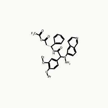 CCOc1cc(C(C(=O)N[C@H](CC(=O)OC(=O)C(F)(F)F)c2ccccc2)N(N)c2ccc3cnccc3c2)ccc1OC(C)C